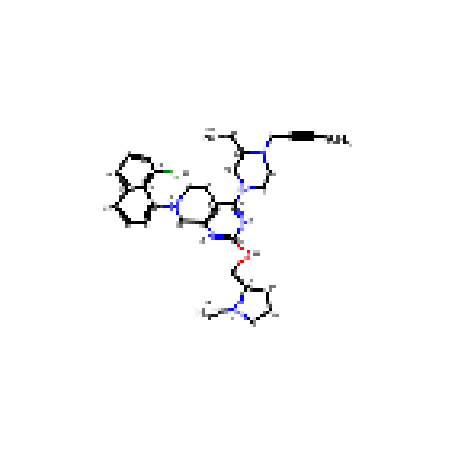 CC#CCN1CCN(c2nc(OCC3CCCN3C)nc3c2CCN(c2cccc4cccc(Cl)c24)C3)CC1CC#N